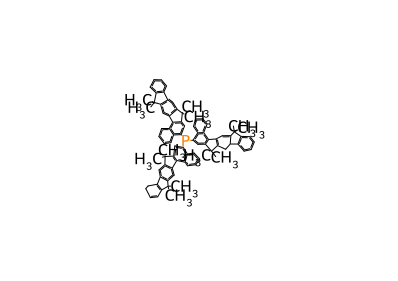 CC1(C)C2=C(CCC=C2)c2cc3c(cc21)-c1c(cc(P(c2cc4c(c5ccccc25)C2=C(CC5C(=C2)C(C)(C)c2ccccc25)C4(C)C)c2cc4c(c5ccccc25)-c2cc5c(cc2C4(C)C)-c2ccccc2C5(C)C)c2ccccc12)C3(C)C